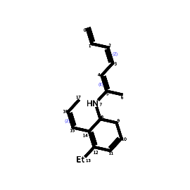 C=C/C=C\C=C(/C)NC1CC=CC(CC)=C1/C=C\C